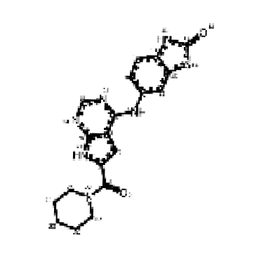 O=C(c1cc2c(Nc3ccc4[nH]c(=O)sc4c3)ncnc2[nH]1)N1CCCCC1